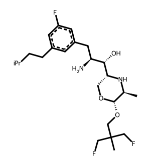 CC(C)CCc1cc(F)cc(C[C@H](N)[C@H](O)[C@H]2CO[C@@H](OCC(C)(CF)CF)[C@H](C)N2)c1